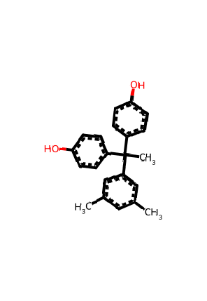 Cc1cc(C)cc(C(C)(c2ccc(O)cc2)c2ccc(O)cc2)c1